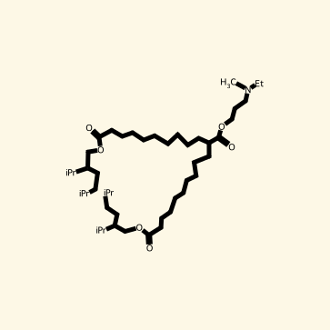 CCN(C)CCCOC(=O)C(CCCCCCCCCC(=O)OCC(CCC(C)C)C(C)C)CCCCCCCCCC(=O)OCC(CCC(C)C)C(C)C